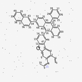 C=Cc1cc2c(cc1/C=C\C)oc1ccc(-c3c4ccccc4c(-c4ccccc4)c4ccc(-c5ccc6ccccc6c5)cc34)cc12